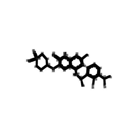 Cc1nc(N[C@H](C)c2cccc(C(C)F)c2F)c2cc(OC3CCS(=O)(=O)CC3)c(=O)[nH]c2n1